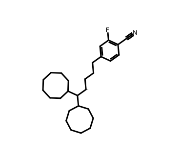 N#Cc1ccc(CCC[CH]C(C2CCCCCCC2)C2CCCCCCC2)cc1F